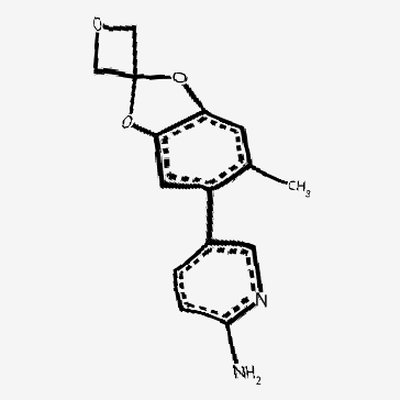 Cc1cc2c(cc1-c1ccc(N)nc1)OC1(COC1)O2